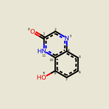 O=c1cnc2cccc(O)c2[nH]1